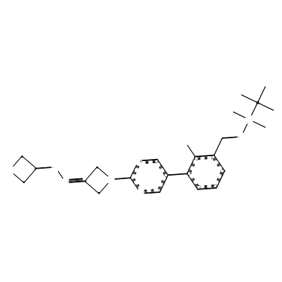 CC(C)(C)[Si](C)(C)OCc1cccc(-c2cnc(N3CC(=NOC4COC4)C3)nc2)c1F